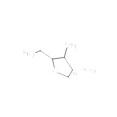 OCC1OC[C@@H](O)C1O